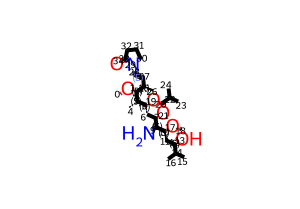 CO[C@@H]([C@@H](C)[C@@H](CC[C@H](N)[C@H](C[C@H](O)C(C)C)OC)OC(=O)C(C)C)[C@H](C)/C=C/N1CCCC1=O